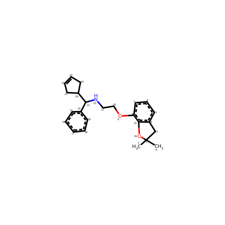 CC1(C)Cc2cccc(OCCNC(c3ccccc3)C3CC=CC3)c2O1